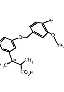 CCCCOc1cc(COc2cccc([C@H](C)C(C)C(=O)O)c2)ccc1Br